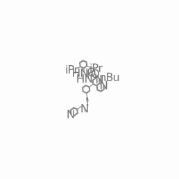 CCCCn1c(=O)c(NC(=O)Nc2c(C(C)C)cccc2C(C)C)c(-c2cccc(C#CCN(C)Cc3ccncc3)c2)c2cccnc21